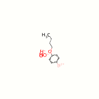 [B+2]c1ccc(OCCCC)cc1.[OH-].[OH-]